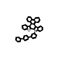 c1ccc(-c2ccc(-c3cccc(-n4c5ccccc5c5c6c7ccccc7c7ccccc7c6c6c7ccccc7oc6c54)c3)cc2)cc1